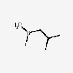 CC(C)CB(P)I